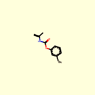 C=C(C)NC(=O)Oc1cccc(C(C)(C)C)c1